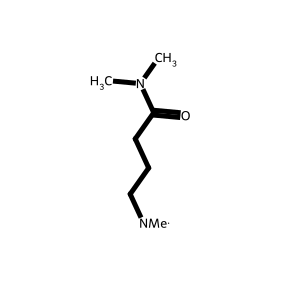 C[N]CCCC(=O)N(C)C